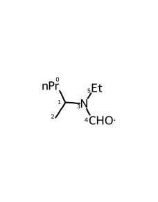 CCCC(C)N([C]=O)CC